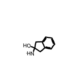 [NH]C1(O)Cc2ccccc2C1